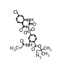 CCC(=O)Nc1cc(S(=O)(=O)n2c(=O)[nH]c3cc(Cl)ccc3c2=O)ccc1C(=O)OC(C)(C)C